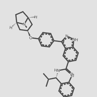 CC(C)[C@H](NC(=O)c1ccc2[nH]nc(-c3ccc(O[C@H]4C[C@H]5CC[C@@H](C4)N5C)cc3)c2c1)c1ccccc1Cl